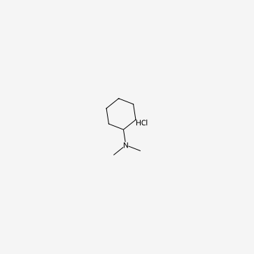 CN(C)C1CCCCC1.Cl